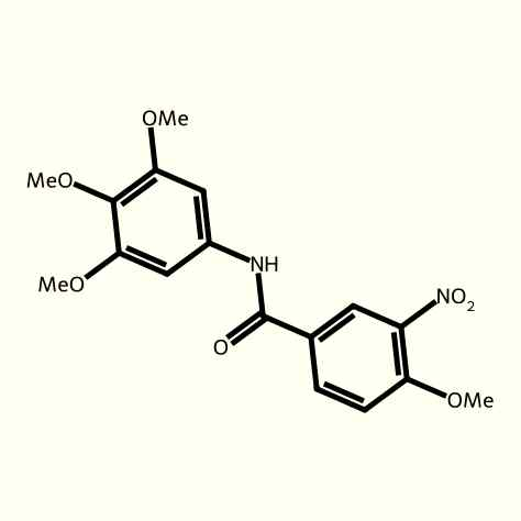 COc1ccc(C(=O)Nc2cc(OC)c(OC)c(OC)c2)cc1[N+](=O)[O-]